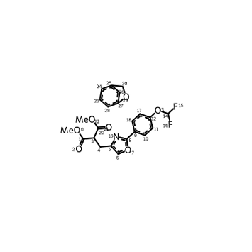 COC(=O)C(Cc1coc(-c2ccc(OC(F)F)cc2)n1)C(=O)OC.c1cc2cc(c1)OC2